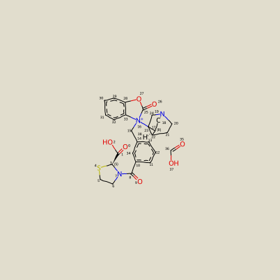 O=C(O)[C@@H]1SCCN1C(=O)c1cccc(C[N+]2([C@H]3CN4CCC3CC4)C(=O)Oc3ccccc32)c1.O=CO